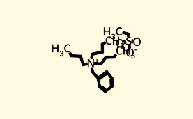 CCCC[N+](CCCC)(CCCC)Cc1ccccc1.CCS(=O)(=O)[O-]